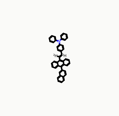 [2H]/C(=C(/[2H])c1c2ccccc2c(-c2ccc3ccccc3c2)c2ccccc12)c1ccc(N(c2ccccc2)c2ccccc2)cc1